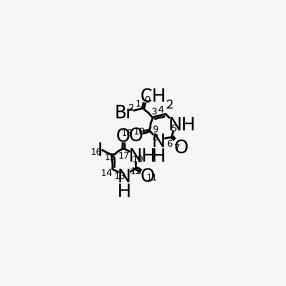 C=C(Br)c1c[nH]c(=O)[nH]c1=O.O=c1[nH]cc(I)c(=O)[nH]1